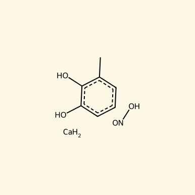 Cc1cccc(O)c1O.O=NO.[CaH2]